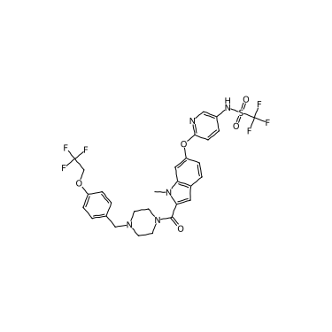 Cn1c(C(=O)N2CCN(Cc3ccc(OCC(F)(F)F)cc3)CC2)cc2ccc(Oc3ccc(NS(=O)(=O)C(F)(F)F)cn3)cc21